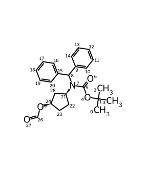 CC(C)(C)OC(=O)N(C(c1ccccc1)c1ccccc1)[C@H]1CC[C@@H](OC=O)C1